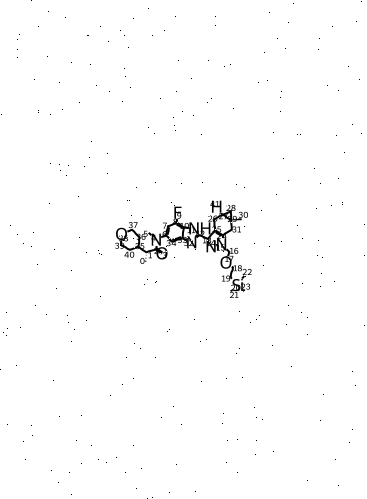 C[C@@H](C(=O)N(C)c1cc(F)c2[nH]c(-c3nn(COCC[Si](C)(C)C)c4c3C[C@@H]3C[C@]3(C)C4)nc2c1)C1CCOCC1